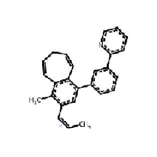 C/C=C\c1cc(-c2cccc(-c3ccccn3)c2)c2c(c1C)C=CCC=C2